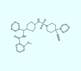 COc1ccccc1C(=O)NC(c1ccccc1)C1CCC(NS(=O)(=O)N2CCC(C#N)(c3ccccc3)CC2)CC1